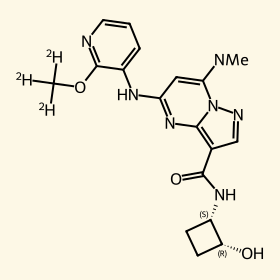 [2H]C([2H])([2H])Oc1ncccc1Nc1cc(NC)n2ncc(C(=O)N[C@H]3CC[C@H]3O)c2n1